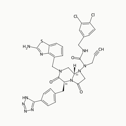 C#CCN(C(=O)NCc1ccc(Cl)c(Cl)c1)N1CC(=O)N2[C@@H](Cc3ccc(-c4nnn[nH]4)cc3)C(=O)N(Cc3cccc4sc(N)nc34)C[C@@H]21